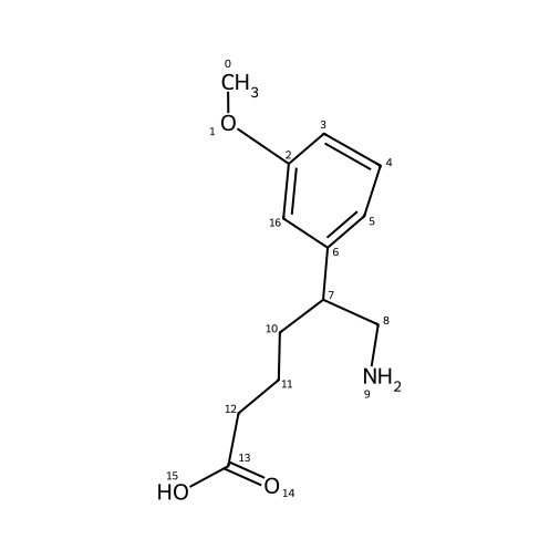 COc1cccc(C(CN)CCCC(=O)O)c1